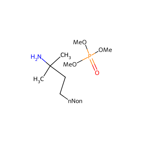 CCCCCCCCCCCC(C)(C)N.COP(=O)(OC)OC